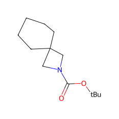 CC(C)(C)OC(=O)N1CC2(CCCCC2)C1